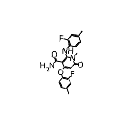 Cc1ccc(Nc2c(C(N)=O)c(Oc3ccc(C)cc3F)cc(=O)n2C)c(F)c1